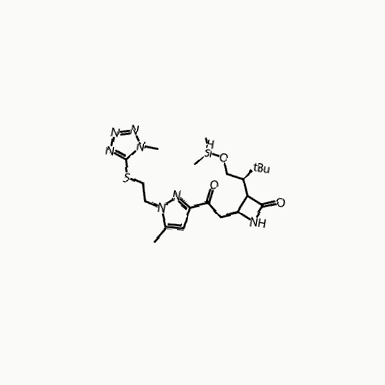 Cc1cc(C(=O)CC2NC(=O)C2[C@@H](CO[SiH](C)C)C(C)(C)C)nn1CCSc1nnnn1C